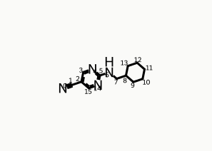 N#Cc1cnc(NCC2CCCCC2)nc1